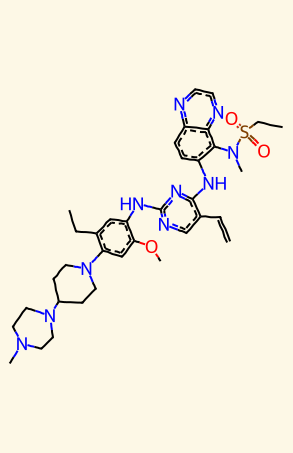 C=Cc1cnc(Nc2cc(CC)c(N3CCC(N4CCN(C)CC4)CC3)cc2OC)nc1Nc1ccc2nccnc2c1N(C)S(=O)(=O)CC